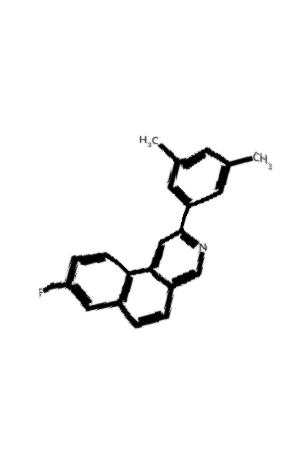 Cc1cc(C)cc(-c2cc3c(ccc4cc(F)ccc43)cn2)c1